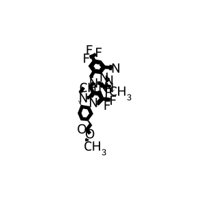 CCOC(=O)C[C@H]1CC[C@H](CN(CC)c2ncc(C(F)(F)F)cc2CN(Cc2cc(C#N)cc(C(F)(F)F)c2)c2nnn(C)n2)CC1